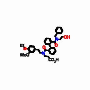 CCOc1ccc(CCN(CCC(=O)O)C(=O)c2ccccc2-c2ccccc2C(=O)N(CCO)Cc2ccccc2)cc1OC